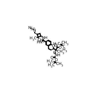 CC(C)(C)OC(=O)NO[C@](C)(C(=O)OC(C)(C)C)[C@H]1CCc2cc(C(=N)N[C@@H]3C[C@H](CN=[N+]=[N-])C3(C)C)ccc2O1